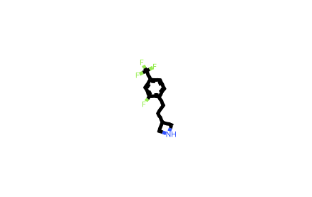 Fc1cc(C(F)(F)F)ccc1CCC1CNC1